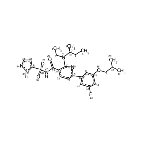 CC[C@H](C)N(CC)c1nc(-c2cc(F)cc(OCC(C)C)c2)ccc1C(=O)NS(=O)(=O)c1ccn[nH]1